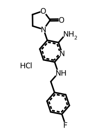 Cl.Nc1nc(NCc2ccc(F)cc2)ccc1N1CCOC1=O